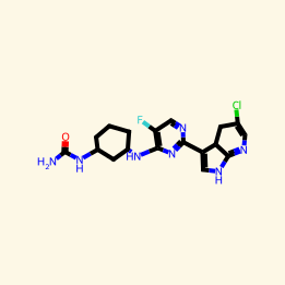 NC(=O)NC1CCCC(Nc2nc(C3=CNC4=NC=C(Cl)CC34)ncc2F)C1